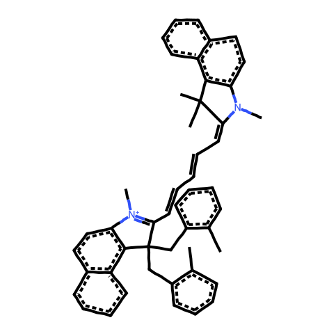 Cc1ccccc1CC1(Cc2ccccc2C)C(/C=C/C=C/C=C2/N(C)c3ccc4ccccc4c3C2(C)C)=[N+](C)c2ccc3ccccc3c21